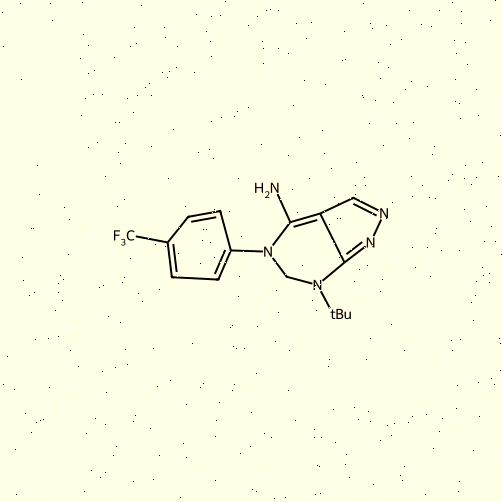 CC(C)(C)N1CN(c2ccc(C(F)(F)F)cc2)C(N)=C2C=NN=C21